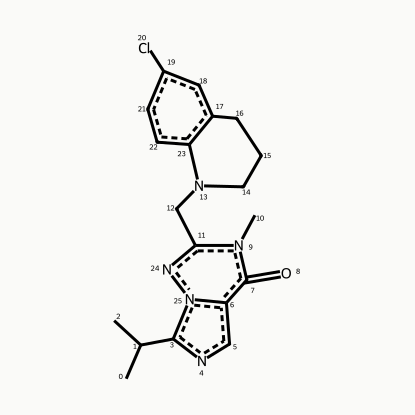 CC(C)c1ncc2c(=O)n(C)c(CN3CCCc4cc(Cl)ccc43)nn12